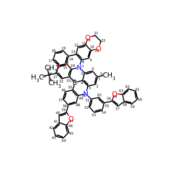 Cc1cc2c3c(c1)N(c1cc4c(cc1-c1ccccc1)OCCO4)c1ccc(C(C)(C)C)cc1B3c1ccc(-c3cc4ccccc4o3)cc1N2c1cccc(-c2cc3ccccc3o2)c1